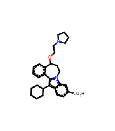 O=C(O)c1ccc2c(C3CCCCC3)c3n(c2c1)CCC(OCCN1CCCC1)c1ccccc1-3